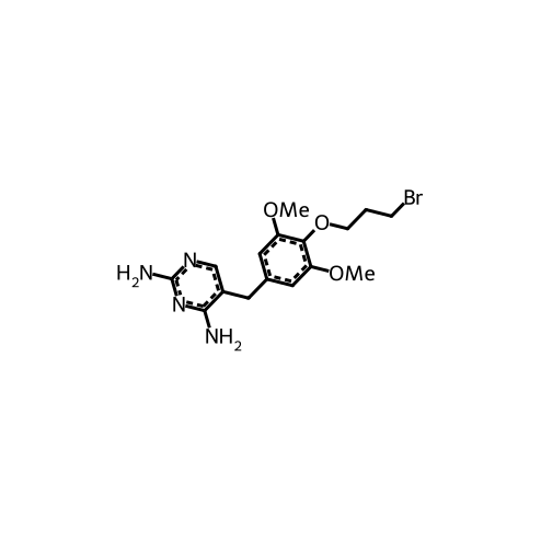 COc1cc(Cc2cnc(N)nc2N)cc(OC)c1OCCCBr